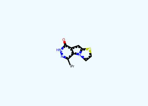 CC(C)c1n[nH]c(=O)c2cc3sccn3c12